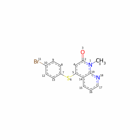 Cn1c(=O)cc(Sc2ccc(Br)cc2)c2cccnc21